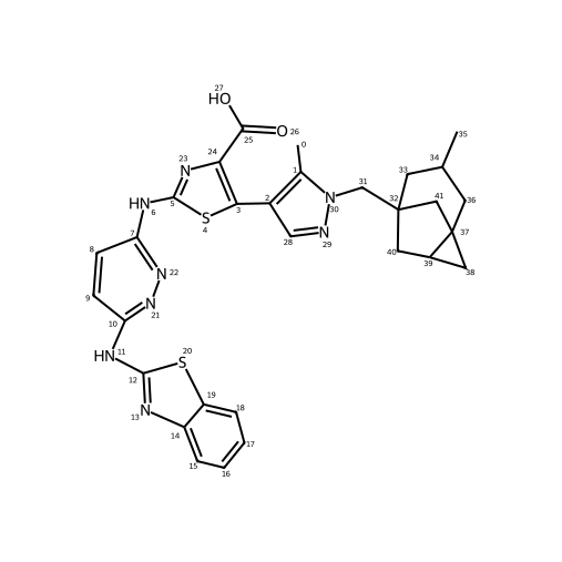 Cc1c(-c2sc(Nc3ccc(Nc4nc5ccccc5s4)nn3)nc2C(=O)O)cnn1CC12CC(C)CC3(CC3C1)C2